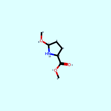 COC(=O)C1CCC(OC)N1